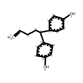 C=CCCC(c1ccc(O)cc1)c1ccc(O)cc1